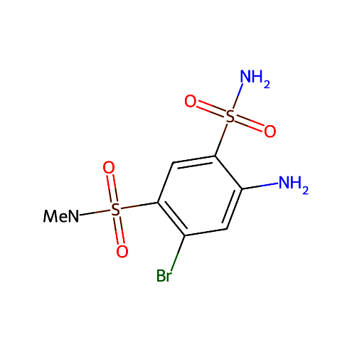 CNS(=O)(=O)c1cc(S(N)(=O)=O)c(N)cc1Br